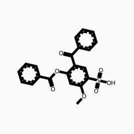 COc1cc(OC(=O)c2ccccc2)c(C(=O)c2ccccc2)cc1S(=O)(=O)O